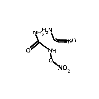 N=CN.NC(=O)NO[N+](=O)[O-]